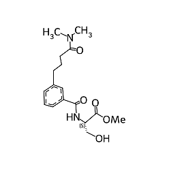 COC(=O)[C@H](CO)NC(=O)c1cccc(CCCC(=O)N(C)C)c1